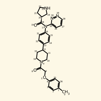 Cc1ccc(OCC(=O)N2CCC(c3ccc(N(C(=O)[C@H]4CCNC4)c4cccnn4)cc3)CC2)cc1